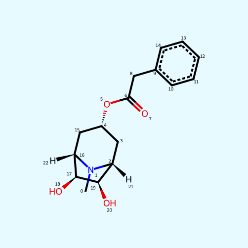 CN1[C@@H]2C[C@@H](OC(=O)Cc3ccccc3)C[C@H]1[C@H](O)[C@@H]2O